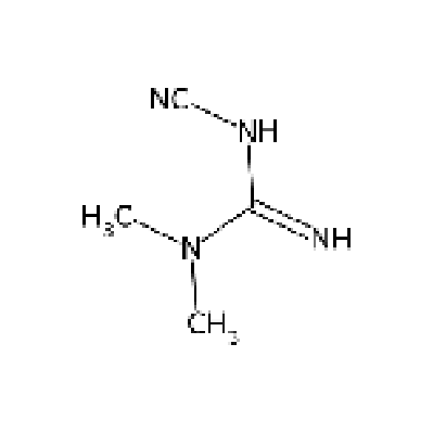 CN(C)C(=N)NC#N